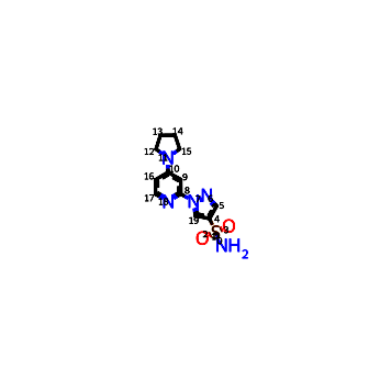 NS(=O)(=O)c1cnn(-c2cc(N3CCCC3)ccn2)c1